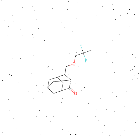 CC(F)(F)COCC1C2CC3CC(C2)C(=O)C1C3